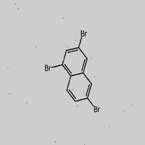 Brc1ccc2c(Br)cc(Br)cc2c1